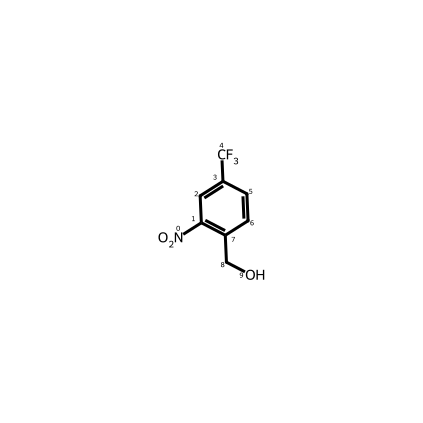 O=[N+]([O-])c1cc(C(F)(F)F)ccc1CO